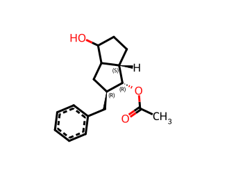 CC(=O)O[C@@H]1[C@@H](Cc2ccccc2)CC2C(O)CC[C@@H]21